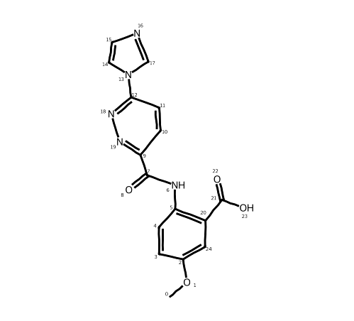 COc1ccc(NC(=O)c2ccc(-n3ccnc3)nn2)c(C(=O)O)c1